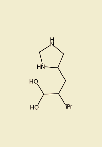 CC(C)C(CC1CNCN1)C(O)O